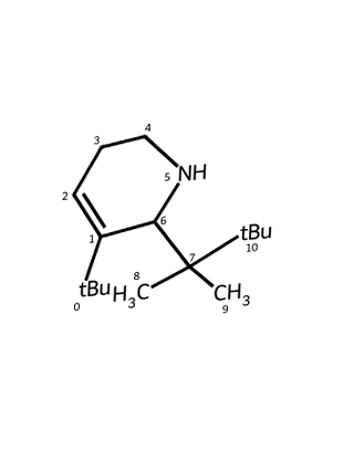 CC(C)(C)C1=CCCNC1C(C)(C)C(C)(C)C